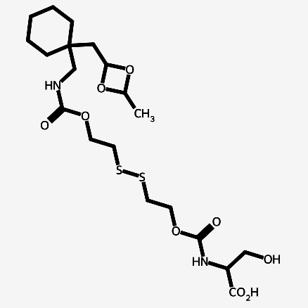 CC1OC(CC2(CNC(=O)OCCSSCCOC(=O)NC(CO)C(=O)O)CCCCC2)O1